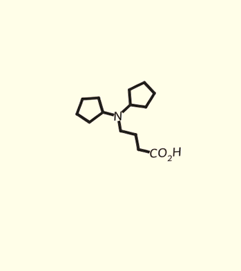 O=C(O)CCCN(C1CCCC1)C1CCCC1